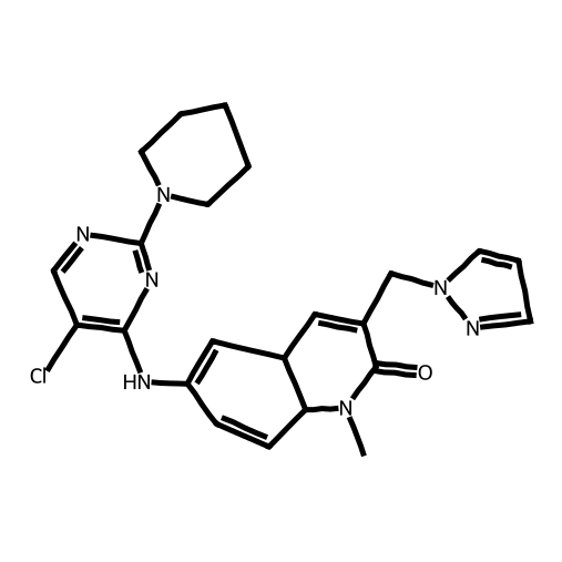 CN1C(=O)C(Cn2cccn2)=CC2C=C(Nc3nc(N4CCCCC4)ncc3Cl)C=CC21